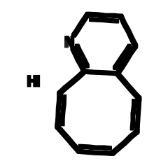 C1=CC=Cc2ncccc2C=C1.I